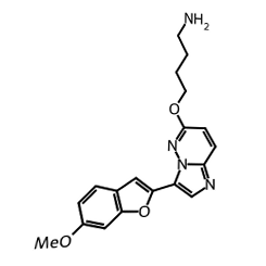 COc1ccc2cc(-c3cnc4ccc(OCCCCN)nn34)oc2c1